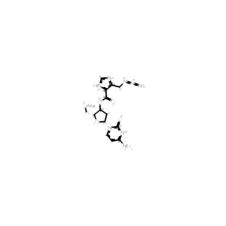 COC[C@H]1O[C@@H](n2ccc(N)nc2=O)CC1OC(=O)c1[nH]cnc1CN=[N+]=[N-]